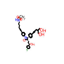 CS(=O)(=O)NCCCCC#Cc1ccc(N2C(=O)[C@H](CC[C@H](O)c3ccc(F)cc3)[C@H]2c2ccc(C#CCC(CO)CO)cc2)cc1